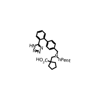 CCCCCN(Cc1ccc(-c2ccccc2-c2nnn[nH]2)cc1)CC1(C(=O)O)CCCC1